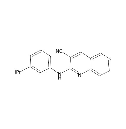 CC(C)c1cccc(Nc2nc3ccccc3cc2C#N)c1